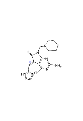 Nc1nc(Cl)c2c(n1)N(CN1CCOCC1)C(=O)/C2=C/c1ncc[nH]1